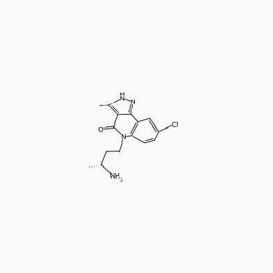 Cc1[nH]nc2c1c(=O)n(CC[C@@H](C)N)c1ccc(Cl)cc21